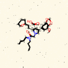 CCCCN(CCCC)C(=O)CN1C[C@H](c2cc(OC)c3c(c2)OCO3)[C@@H](C(=O)O)[C@@H]1CCC1CCCCO1